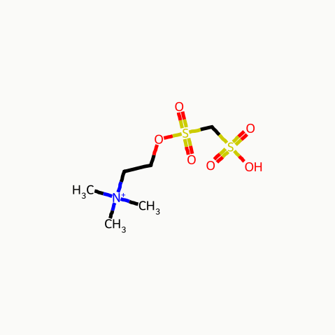 C[N+](C)(C)CCOS(=O)(=O)CS(=O)(=O)O